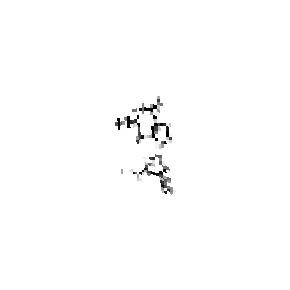 Nc1nc2c(ccn2[C@@H]2C[C@H](O)[C@@H](CO)O2)c(=S)[nH]1